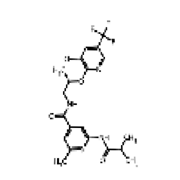 Cc1cc(C(=O)NC[C@@H](C)Oc2ncc(C(F)(F)F)cc2Cl)cc(NC(=O)C(C)C)n1